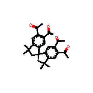 CC(=O)c1cc2c(cc1C(C)=O)C1(CC2(C)C)CC(C)(C)c2cc(C(C)=O)c(C(C)=O)cc21